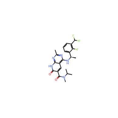 Cc1nc(N[C@H](C)c2cccc(C(F)F)c2F)c2cc(C(=O)N(C)C(C)C)c(=O)[nH]c2n1